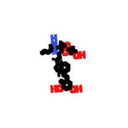 C=C1/C(=C\C=C2/CCC[C@]3(C)[C@@H]([C@H](C)CC[C@H](OC(=O)C(C)(C)CO)C4(c5nc(CCC)c[nH]5)CC4)CC[C@@H]23)C[C@@H](O)C[C@@H]1O